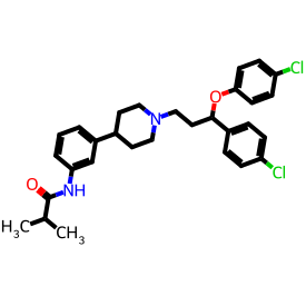 CC(C)C(=O)Nc1cccc(C2CCN(CCC(Oc3ccc(Cl)cc3)c3ccc(Cl)cc3)CC2)c1